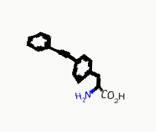 N[C@@H](Cc1ccc(C#Cc2ccccc2)cc1)C(=O)O